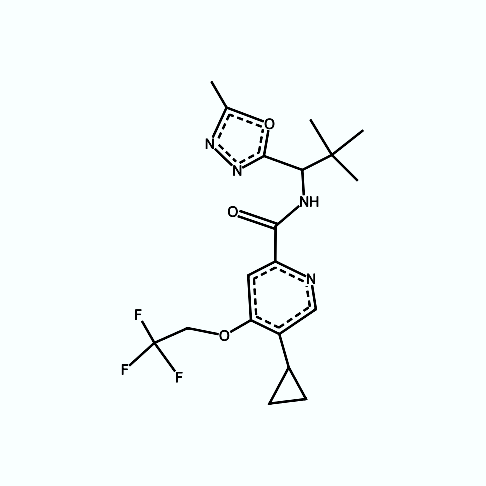 Cc1nnc(C(NC(=O)c2cc(OCC(F)(F)F)c(C3CC3)cn2)C(C)(C)C)o1